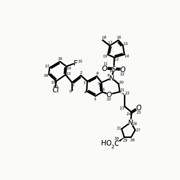 C/C(=C\c1ccc2c(c1)N(S(=O)(=O)c1cccc(C)c1)C[C@H](CCC(=O)N1CC[C@@H](C(=O)O)C1)O2)c1c(F)cccc1Cl